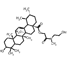 C[C@@H]1CC[C@]2(C(=O)OCC(=O)N(C)CCO)CC[C@]3(C)C(=CCC4[C@@]5(C)CC[C@H](O)C(C)(C)C5CC[C@]43C)C2[C@H]1C